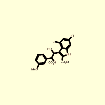 CCOC(=O)c1[nH]c2cc(Cl)cc(Cl)c2c1C(O)C(C(=O)O)c1cccc(OC)c1